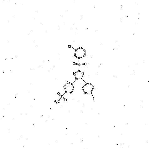 CS(=O)(=O)c1ccc(-c2nc(S(=O)(=O)c3cccc(Cl)c3)sc2-c2ccc(F)cc2)cc1